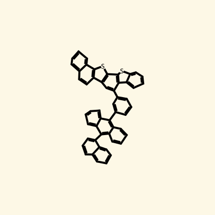 c1cc(-c2c3ccccc3c(-c3cccc4ccccc34)c3ccccc23)cc(-c2cc3c4ccc5ccccc5c4sc3c3sc4ccccc4c23)c1